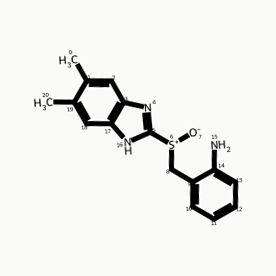 Cc1cc2nc([S+]([O-])Cc3ccccc3N)[nH]c2cc1C